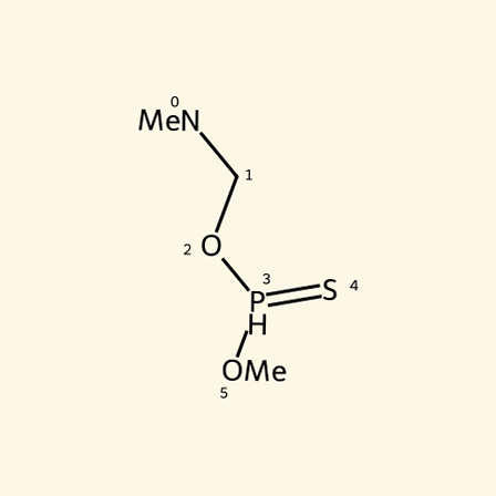 CNCO[PH](=S)OC